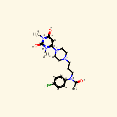 CCC(=O)N(CCCN1CCN(c2cc(=O)n(C)c(=O)n2C)CC1)c1ccc(F)cc1